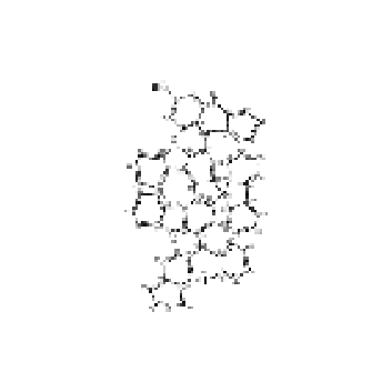 CC(C)(C)c1ccc(N(c2ccccc2F)c2cc3c(c4c2oc2ccccc24)-c2c(cc(N(c4ccc5ccccc5c4)c4ccccc4F)c4oc5ccccc5c24)C32c3ccccc3-c3ccccc32)cc1